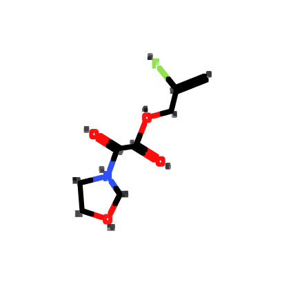 C=C(F)COC(=O)C(=O)N1CCOC1